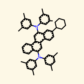 Cc1cc(C)cc(N(c2cc(C)cc(C)c2)c2cc3c4ccc(C5CCCCC5)cc4c(N(c4cc(C)cc(C)c4)c4cc(C)cc(C)c4)cc3c3ccccc23)c1